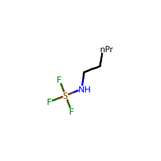 CCCCCNS(F)(F)F